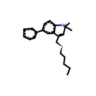 CCCCCSCC1=CC(C)(C)Nc2ccc(-c3ccccc3)cc21